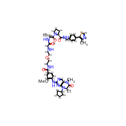 CC[C@@H]1C(=O)N(C)c2cnc(Nc3ccc(C(=O)NCCOCCNCC(=O)NC(C(=O)N4CCC[C@H]4C(=O)NCc4ccc(-c5scnc5C)cc4)C(C)(C)C)cc3OC)nc2N1C1CCCC1